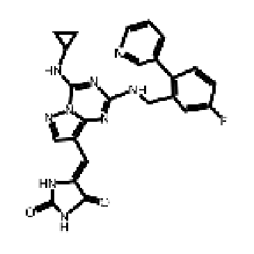 O=C1NC(=O)/C(=C/c2cnn3c(NC4CC4)nc(NCc4cc(F)ccc4-c4cccnc4)nc23)N1